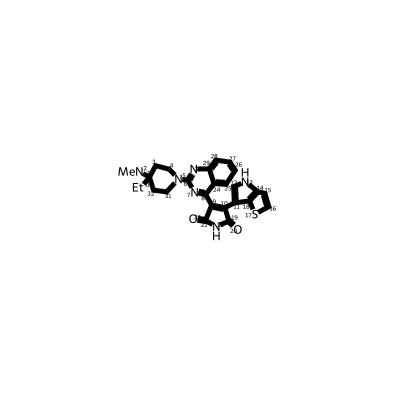 CCC1(NC)CCN(c2nc(C3=C(c4c[nH]c5ccsc45)C(=O)NC3=O)c3ccccc3n2)CC1